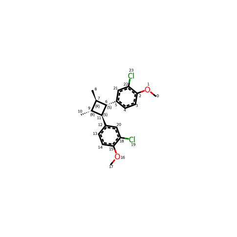 COc1ccc([C@H]2[C@H](C)[C@@H](C)[C@@H]2c2ccc(OC)c(Cl)c2)cc1Cl